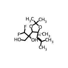 CC(C)=C[C@]1(C)OC(C)(C)OC1[C@](O)(CO)C(F)F